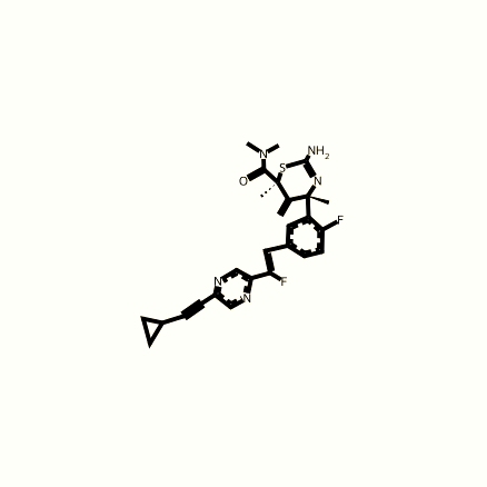 C=C1[C@@](C)(C(=O)N(C)C)SC(N)=N[C@]1(C)c1cc(/C=C(\F)c2cnc(C#CC3CC3)cn2)ccc1F